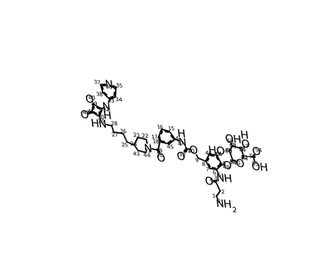 NCCC(=O)Nc1cc(COC(=O)Nc2cccc(C(=O)N3CCC(CCCCNc4c(Nc5ccncc5)c(=O)c4=O)CC3)c2)ccc1O[C@@H]1O[C@H](C(=O)O)[C@@H](O)[C@H](O)[C@H]1O